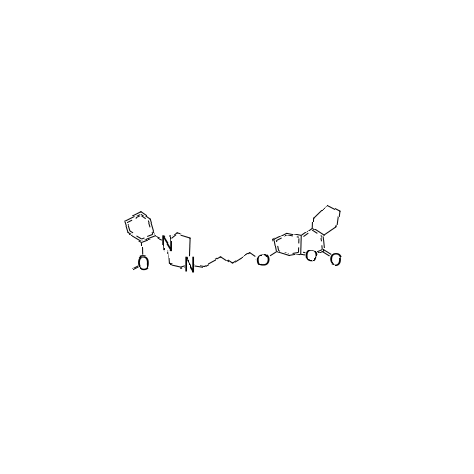 COc1ccccc1N1CCN(CCCCOc2ccc3c4c(c(=O)oc3c2)CCCC4)CC1